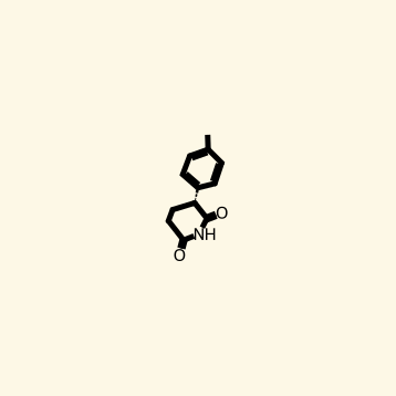 Cc1ccc([C@H]2CCC(=O)NC2=O)cc1